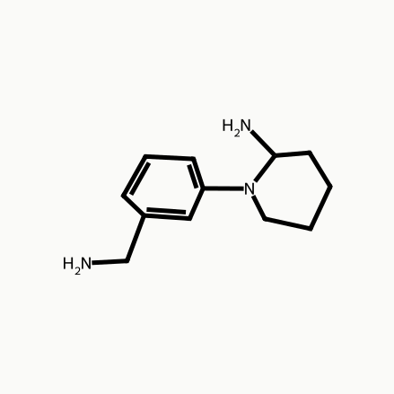 NCc1cccc(N2CCCCC2N)c1